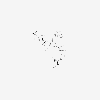 C=C[C@@H]1C[C@]1(NC(=O)[C@@H]1C[C@@]2(CN1C(=O)[C@@H](NC(=O)[C@@H](NC(=O)c1c(C)nn(C)c1C)C(C)(C)C)C(C)(C)C)C(C)(C)C21CCC1)C(=O)NS(=O)(=O)C1CC1